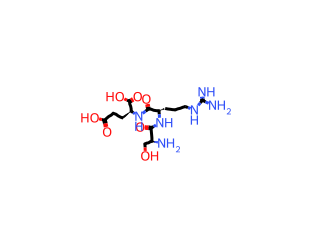 N=C(N)NCCC[C@H](NC(=O)[C@@H](N)CO)C(=O)N[C@@H](CCC(=O)O)C(=O)O